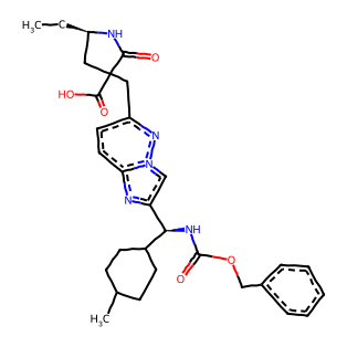 CC[C@@H]1CC(Cc2ccc3nc([C@@H](NC(=O)OCc4ccccc4)C4CCC(C)CC4)cn3n2)(C(=O)O)C(=O)N1